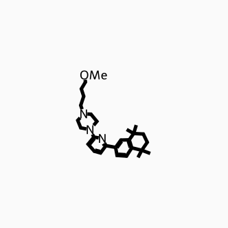 COCCCCN1CCN(c2cccc(-c3ccc4c(c3)C(C)(C)CCC4(C)C)n2)CC1